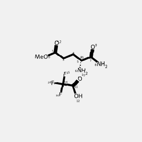 COC(=O)CC[C@@H](N)C(N)=O.O=C(O)C(F)(F)F